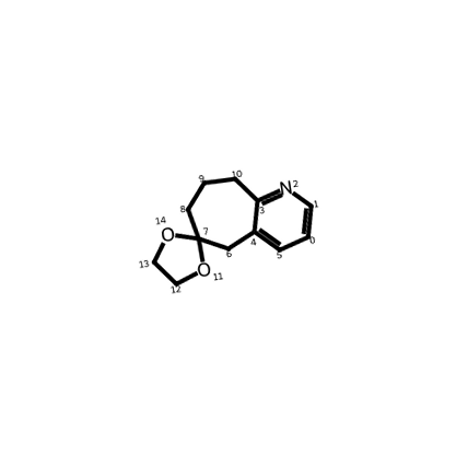 c1cnc2c(c1)CC1(CCC2)OCCO1